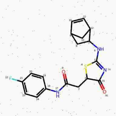 O=C(CC1SC(NC2CC3C=CC2C3)=NC1=O)Nc1ccc(F)cc1